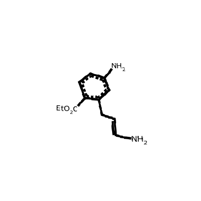 CCOC(=O)c1ccc(N)cc1CC=CN